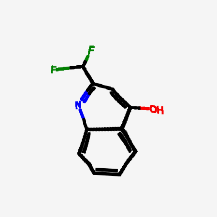 Oc1cc(C(F)F)nc2ccccc12